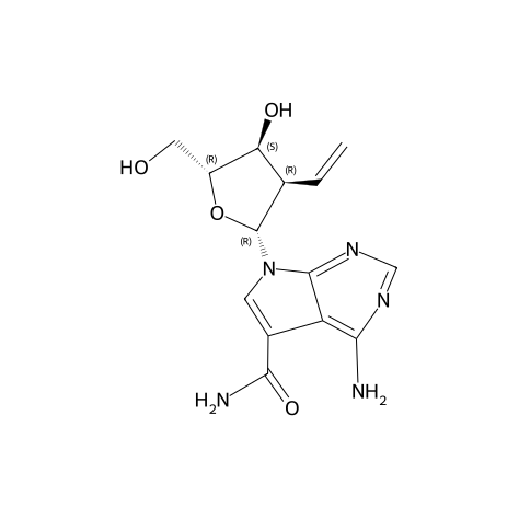 C=C[C@@H]1[C@H](O)[C@@H](CO)O[C@H]1n1cc(C(N)=O)c2c(N)ncnc21